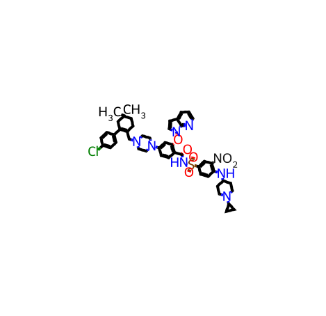 CC1(C)CCC(CN2CCN(c3ccc(C(=O)NS(=O)(=O)c4ccc(NC5CCN(C6CC6)CC5)c([N+](=O)[O-])c4)c(On4ccc5cccnc54)c3)CC2)=C(c2ccc(Cl)cc2)C1